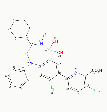 CN1C(C2CCCCC2)CN(c2ccccc2)c2cc(Cl)c(-c3ccc(F)c(C(=O)O)n3)cc2S1(O)O